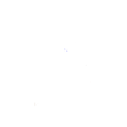 CCON=C(C(C)=O)c1ccc(Br)cc1